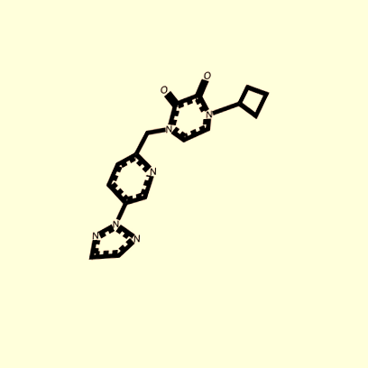 O=c1c(=O)n(C2CCC2)ccn1Cc1ccc(-n2nccn2)cn1